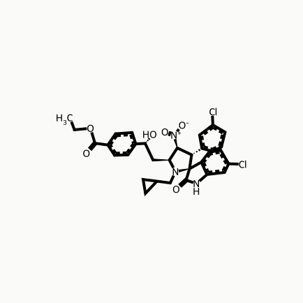 CCOC(=O)c1ccc([C@H](O)C[C@H]2[C@@H]([N+](=O)[O-])[C@H](c3cccc(Cl)c3)[C@]3(C(=O)Nc4cc(Cl)ccc43)N2CC2CC2)cc1